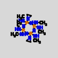 CNP1(NC)=NP(NC)(N2CC2)=NP(NC)(NC)=NP(NC)(N2CC2)=N1